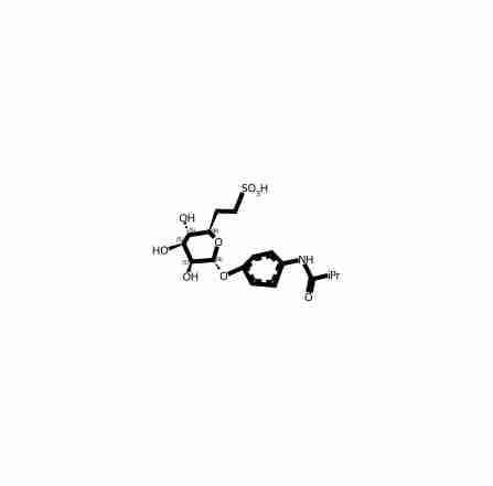 CC(C)C(=O)Nc1ccc(O[C@H]2O[C@H](CCS(=O)(=O)O)[C@@H](O)[C@H](O)[C@@H]2O)cc1